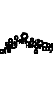 CC(=O)OCC1=C(C(=O)O)N2C(=O)C(NC(=O)Cc3ccccc3NC(=O)N3CCN(S(=O)(=O)CC#N)C3=O)[C@H]2SC1